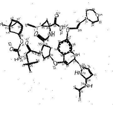 CC[C@@H]1C[C@]1(NC(=O)[C@@H]1C[C@@H](OC2=CC(N3C=CC(NC(C)C)N3)Nc3cc(OCCN4CCOCC4)ccc32)CN1C(=O)[C@@H](NC(=O)OC1CC2C[C@H]2C1)C(C)(C)C)C(=O)O